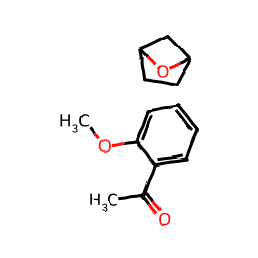 C1CC2CC1O2.COc1ccccc1C(C)=O